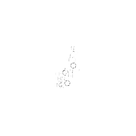 COc1cc2c(cc1Nc1ncc(Cl)c(Nc3ccccc3S(=O)(=O)N(C)C)n1)CCN(CC(=O)N(C)C)CC2